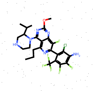 CCCc1nc(-c2c(Cl)c(N)c(F)c(F)c2C(F)(F)F)c(F)c2nc(OC)nc(N3CCNCC3C(C)C)c12